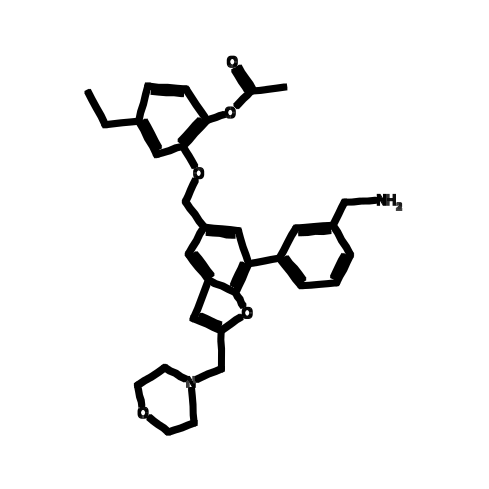 CCc1ccc(OC(C)=O)c(OCc2cc(-c3cccc(CN)c3)c3oc(CN4CCOCC4)cc3c2)c1